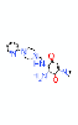 NC1=C(NCN2CCN(c3ccccn3)CC2)C(=O)C=C(N2CC2)C1=O